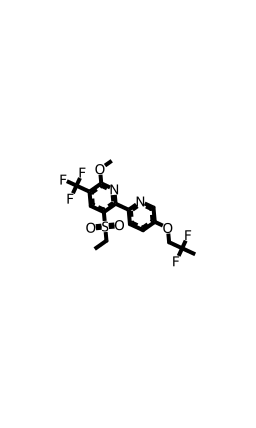 CCS(=O)(=O)c1cc(C(F)(F)F)c(OC)nc1-c1ccc(OCC(C)(F)F)cn1